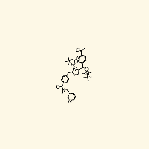 CC(=O)c1ccc(C(O[Si](C)(C)C(C)(C)C)C2CCC(Cc3ccc(C(=O)N(C)Cc4cccnc4)cc3)N2C(=O)OC(C)(C)C)cn1